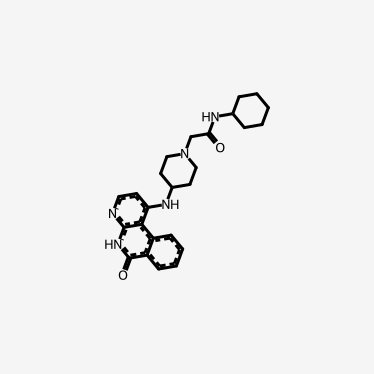 O=C(CN1CCC(Nc2ccnc3[nH]c(=O)c4ccccc4c23)CC1)NC1CCCCC1